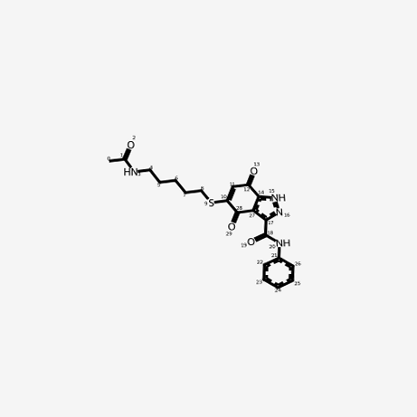 CC(=O)NCCCCCSC1=CC(=O)c2[nH]nc(C(=O)Nc3ccccc3)c2C1=O